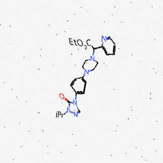 CCOC(=O)C(c1ccccn1)N1CCN(c2ccc(-n3cnn(C(C)C)c3=O)cc2)CC1